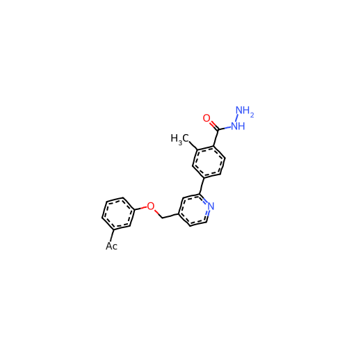 CC(=O)c1cccc(OCc2ccnc(-c3ccc(C(=O)NN)c(C)c3)c2)c1